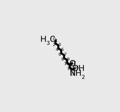 CCCCCCCCCCCC(=O)CC(N)O